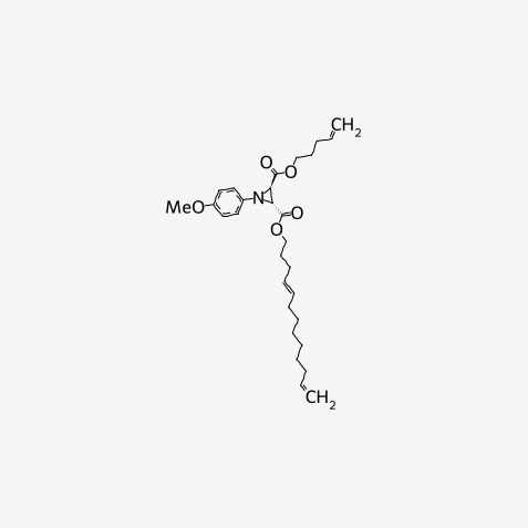 C=CCCCCCC/C=C/CCCOC(=O)[C@H]1[C@H](C(=O)OCCCC=C)N1c1ccc(OC)cc1